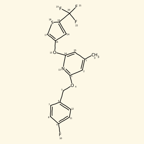 Cc1cc(OCc2ccc(F)cc2)nc(Oc2csc(C(F)(F)F)c2)c1